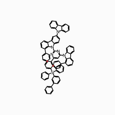 c1ccc(-c2cccc([Si](c3ccccc3)(c3ccccc3)c3cccc(-c4cc(-n5c6ccccc6c6cccc(-c7ccccc7)c65)nc(-n5c6ccc(-n7c8ccccc8c8ccccc87)cc6c6cccc(-c7ccccc7)c65)n4)c3)c2)cc1